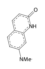 C[N]c1ccc2ccc(=O)[nH]c2c1